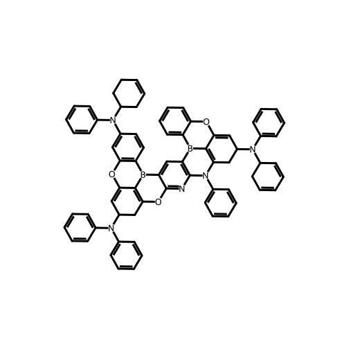 C1=CCC(N(c2ccccc2)C2C=C3Oc4ccccc4B4C3=C(C2)N(c2ccccc2)c2nc3c(cc24)B2C4=C(CC(N(c5ccccc5)c5ccccc5)C=C4Oc4cc(N(c5ccccc5)C5CC=CCC5)ccc42)O3)C=C1